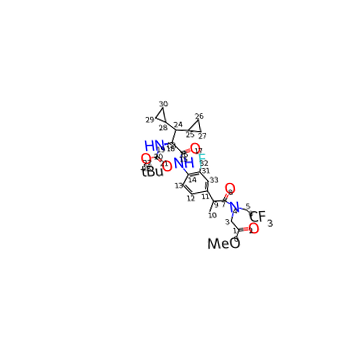 COC(=O)CN(CC(F)(F)F)C(=O)C(C)c1ccc(NC(=O)[C@@H](NC(=O)OC(C)(C)C)C(C2CC2)C2CC2)c(F)c1